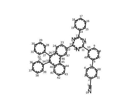 N#Cc1ccc(-c2cccc(-c3nc(-c4ccccc4)nc(-c4ccc5c(-c6ccccc6)c(-c6ccccc6)c6ccccc6c5c4)n3)c2)cc1